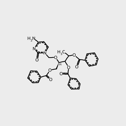 CC(OC(=O)c1ccccc1)C(OC(=O)c1ccccc1)[C@@H](COC(=O)c1ccccc1)OCn1ccc(N)nc1=O